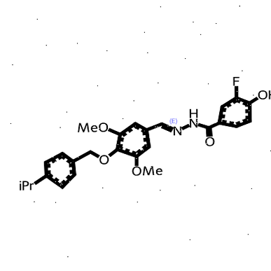 COc1cc(/C=N/NC(=O)c2ccc(O)c(F)c2)cc(OC)c1OCc1ccc(C(C)C)cc1